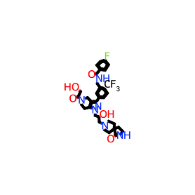 O=C(NCc1cc(-c2nn(CC(O)CN3CCC4(CCNC4=O)CC3)c3c2CN(C(=O)CO)CC3)ccc1C(F)(F)F)c1ccc(F)cc1